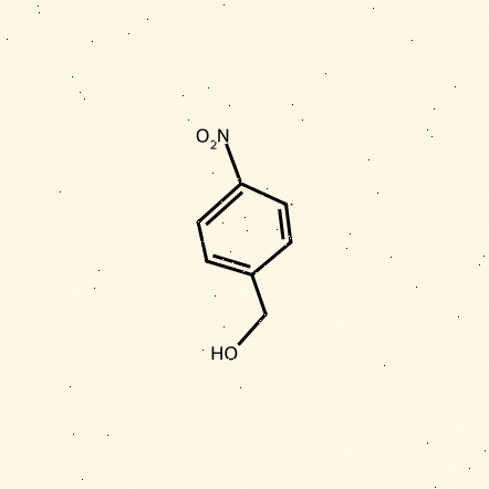 O=[N+]([O-])c1[c]cc(CO)cc1